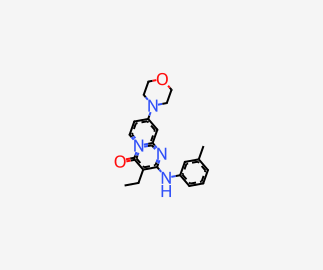 CCc1c(Nc2cccc(C)c2)nc2cc(N3CCOCC3)ccn2c1=O